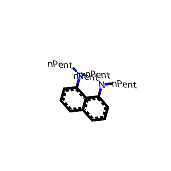 CCCCCN(CCCCC)c1cccc2cccc(N(CCCCC)CCCCC)c12